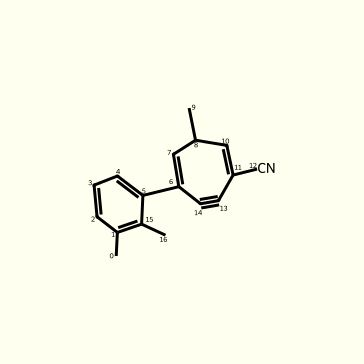 Cc1cccc(C2=CC(C)C=C(C#N)C#C2)c1C